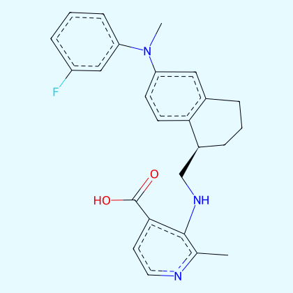 Cc1nccc(C(=O)O)c1NC[C@@H]1CCCc2cc(N(C)c3cccc(F)c3)ccc21